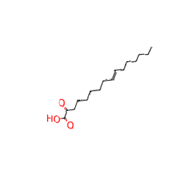 CCCCCCC=CCCCCCCC(=O)C(=O)O